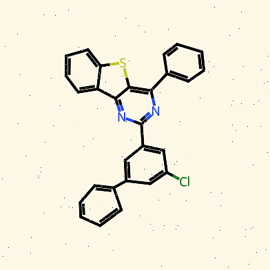 Clc1cc(-c2ccccc2)cc(-c2nc(-c3ccccc3)c3sc4ccccc4c3n2)c1